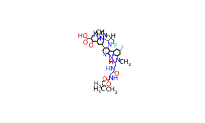 CN1CC2[C@@H](CCN2c2c(-c3cnc4c(c3)c(=O)c(C(=O)O)cn4C)cnc3[nH]c4c(N(C)C(=O)CNC(=O)CNC(=O)OC(C)(C)C)cc(F)c(F)c4c23)C1